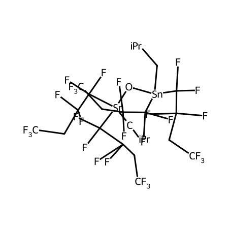 CC(C)[CH2][Sn]([O][Sn]([CH2]C(C)C)([C](F)(F)C(F)(F)CC(F)(F)F)[C](F)(F)C(F)(F)CC(F)(F)F)([C](F)(F)C(F)(F)CC(F)(F)F)[C](F)(F)C(F)(F)CC(F)(F)F